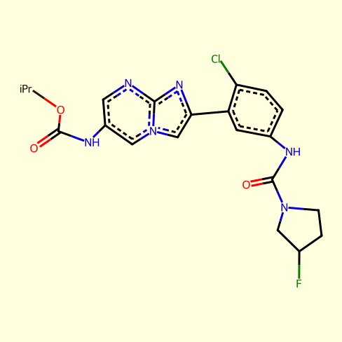 CC(C)OC(=O)Nc1cnc2nc(-c3cc(NC(=O)N4CCC(F)C4)ccc3Cl)cn2c1